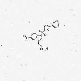 CCOc1ccc2c(c1)C(CCC(=O)O)CN2S(=O)(=O)c1ccc(-c2cccnc2)s1